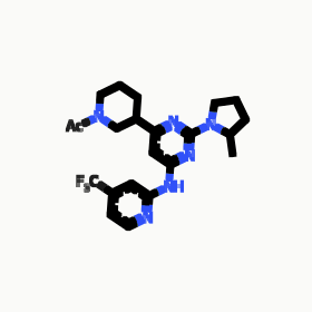 CC(=O)N1CCCC(c2cc(Nc3cc(C(F)(F)F)ccn3)nc(N3CCCC3C)n2)C1